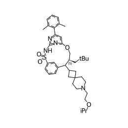 Cc1cccc(C)c1-c1cc2nc(n1)NS(=O)(=O)c1cccc(c1)C(C1CC3(CCN(CCOC(C)C)CC3)C1)[C@H](CC(C)(C)C)CO2